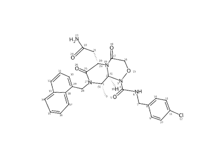 C[C@H]1[C@@H]2N(C(=O)NCc3ccc(Cl)cc3)OCC(=O)N2[C@@H](CC(N)=O)C(=O)N1Cc1cccc2ccccc12